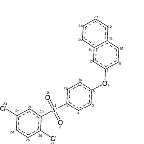 O=S(=O)(c1ccc(Oc2ccc3ccccc3c2)cc1)c1cc(Cl)ccc1Cl